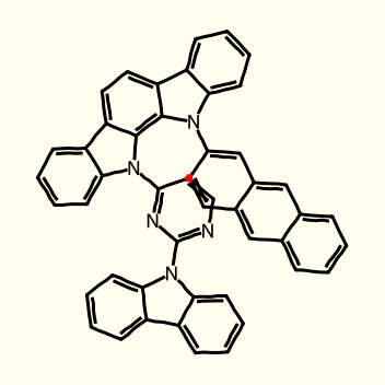 c1ccc2cc3cc(-n4c5ccccc5c5ccc6c7ccccc7n(-c7ccnc(-n8c9ccccc9c9ccccc98)n7)c6c54)ccc3cc2c1